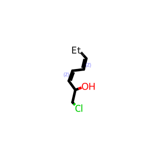 CC/C=C\C=C/C(O)CCl